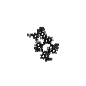 N/C1=N\c2[nH]c(c3cccc(S(=O)(=O)O)c23)/N=C2N=C(/N=c3\[nH]/c(c4cccc(S(=O)(=O)Nc5ccc(S(=O)(=O)O)c(Nc6nc(N)nc(Cl)n6)c5)c34)=N\Cc3c1cccc3S(=O)(=O)O)c1cccc(S(=O)(=O)O)c1\2